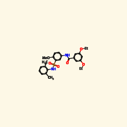 CCOc1cc(OCC)cc(C(=O)Nc2ccc(OC)c(S(=O)(=O)Nc3c(C)cccc3C)c2)c1